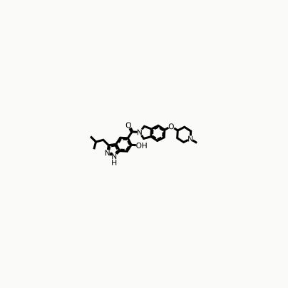 CC(C)Cc1n[nH]c2cc(O)c(C(=O)N3Cc4ccc(OC5CCN(C)CC5)cc4C3)cc12